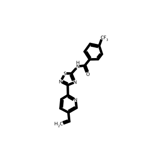 C=Cc1ccc(-c2nsc(NC(=O)c3ccc(C(F)(F)F)cc3)n2)nc1